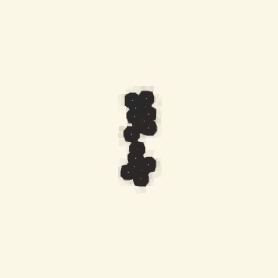 c1ccc(N(c2cccc(-c3ccc4cc5c(cc4c3)-c3ccccc3C53c4ccccc4-c4ccccc43)c2)c2ccc3c(c2)C2(c4ccccc4-c4ccccc42)c2ccccc2-3)cc1